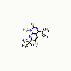 CC(C)c1nc(=O)n(C)c2nc(C(C)(C)C)c(Cl)cc12